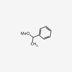 COC(C)c1c[c]ccc1